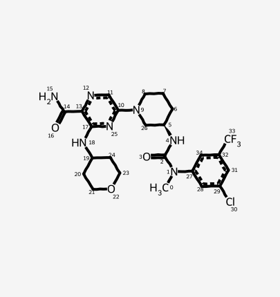 CN(C(=O)N[C@@H]1CCCN(c2cnc(C(N)=O)c(NC3CCOCC3)n2)C1)c1cc(Cl)cc(C(F)(F)F)c1